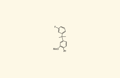 COc1cc(C(C)(C)c2cccc(F)c2)ccc1C(C)C